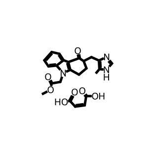 COC(=O)Cn1c2c(c3ccccc31)C(=O)C(Cc1nc[nH]c1C)CC2.O=C(O)/C=C\C(=O)O